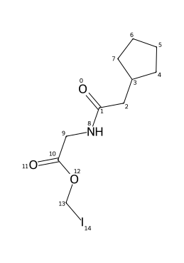 O=C(CC1CCCC1)NCC(=O)OCI